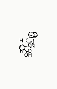 Cc1c(-c2cccnc2C(=O)O)cnn1CC12CC3CC(CC(C3)C1)C2